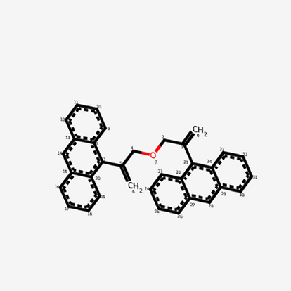 C=C(COCC(=C)c1c2ccccc2cc2ccccc12)c1c2ccccc2cc2ccccc12